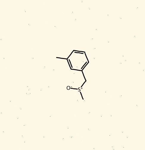 Cc1cccc(C[S+](C)[O-])c1